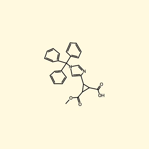 COC(=O)C1C(C(=O)O)C1c1cn(C(c2ccccc2)(c2ccccc2)c2ccccc2)cn1